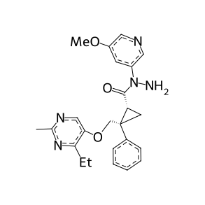 CCc1nc(C)ncc1OC[C@@]1(c2ccccc2)C[C@H]1C(=O)N(N)c1cncc(OC)c1